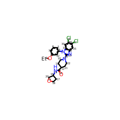 CCOc1cccc(-n2c(N3CCC(C(=O)NC4CCOC4)CC3)nc3cc(Cl)c(Cl)cc32)c1